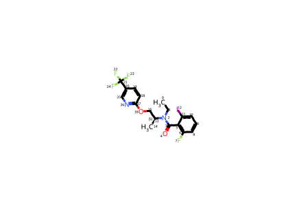 CCN(C(=O)c1c(F)cccc1I)[C@@H](C)COc1ccc(C(F)(F)F)cn1